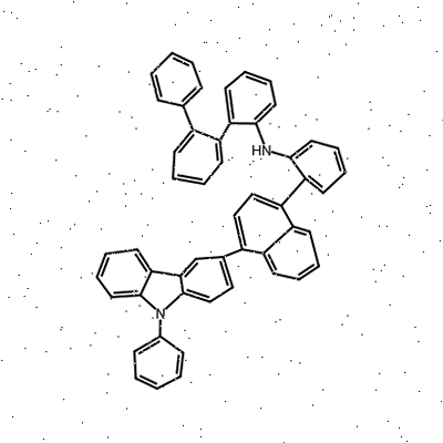 c1ccc(-c2ccccc2-c2ccccc2Nc2ccccc2-c2ccc(-c3ccc4c(c3)c3ccccc3n4-c3ccccc3)c3ccccc23)cc1